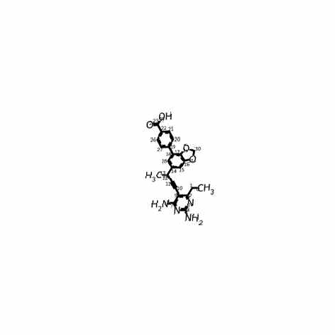 CCc1nc(N)nc(N)c1C#C[C@@H](C)c1cc2c(c(-c3ccc(C(=O)O)cc3)c1)OCO2